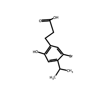 CC(C)c1cc(O)c(CCC(=O)O)cc1Br